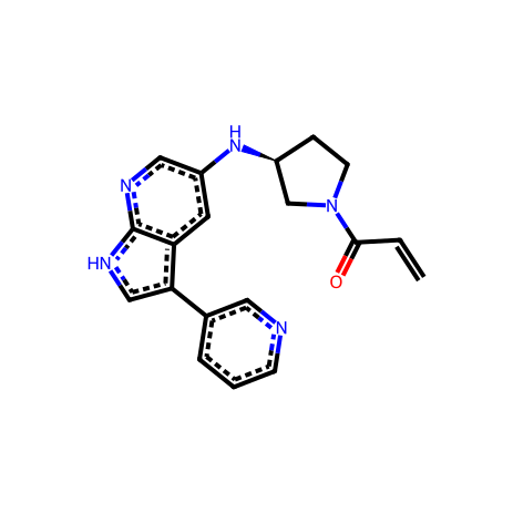 C=CC(=O)N1CC[C@H](Nc2cnc3[nH]cc(-c4cccnc4)c3c2)C1